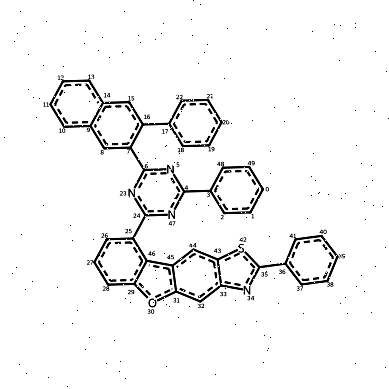 c1ccc(-c2nc(-c3cc4ccccc4cc3-c3ccccc3)nc(-c3cccc4oc5cc6nc(-c7ccccc7)sc6cc5c34)n2)cc1